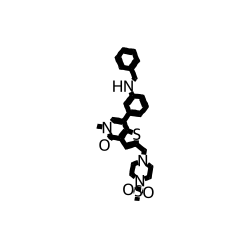 Cn1cc(-c2cccc(NCc3ccccc3)c2)c2sc(CN3CCN(S(C)(=O)=O)CC3)cc2c1=O